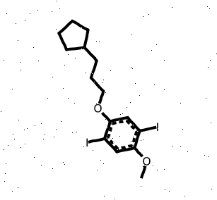 COc1cc(I)c(OCCCC2CCCC2)cc1I